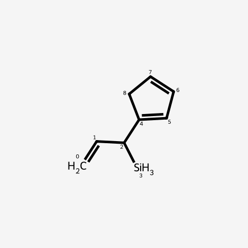 C=CC([SiH3])C1=CC=CC1